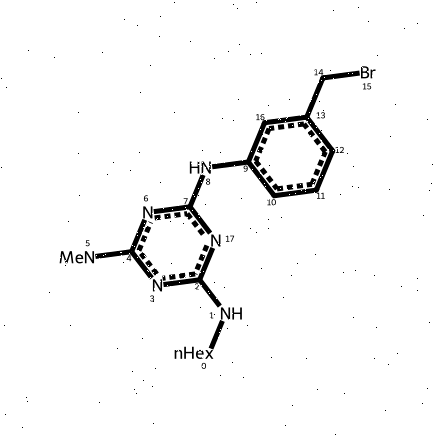 CCCCCCNc1nc(NC)nc(Nc2cccc(CBr)c2)n1